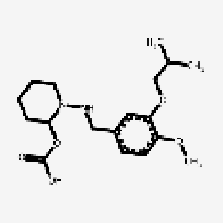 COc1ccc(CNN2CCCCC2OC(=O)O)cc1OCC(C)C